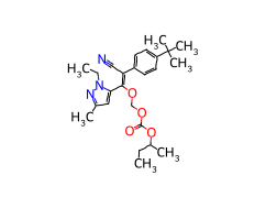 CCC(C)OC(=O)OCO/C(=C(/C#N)c1ccc(C(C)(C)C)cc1)c1cc(C)nn1CC